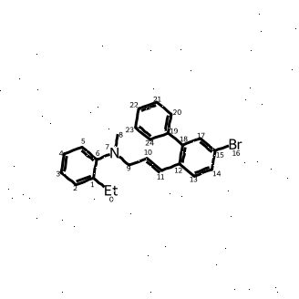 CCc1ccccc1N(C)CC=Cc1ccc(Br)cc1-c1ccccc1